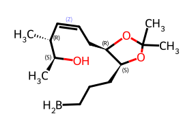 BCCC[C@@H]1OC(C)(C)O[C@@H]1C/C=C\[C@@H](C)[C@H](C)O